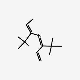 C=C/C(=N\C(=C/C)C(C)(C)C)C(C)(C)C